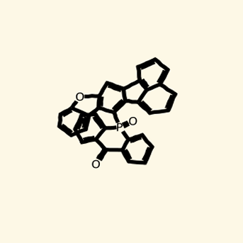 O=C1c2ccccc2P(=O)(c2c3c(cc4oc5ccccc5c24)-c2cccc4cccc-3c24)c2ccccc21